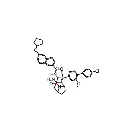 COc1cc(C(F)(F)C(N[S+]([O-])c2ccc3cc(OC4CCCC4)ccc3c2)C(=O)N2C3CCC2CC(N)C3)ccc1-c1ccc(Cl)cc1